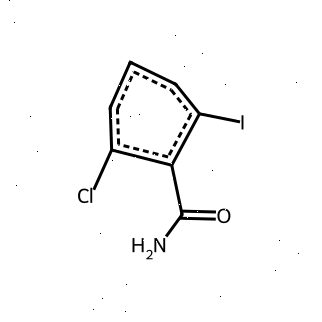 NC(=O)c1c(Cl)cccc1I